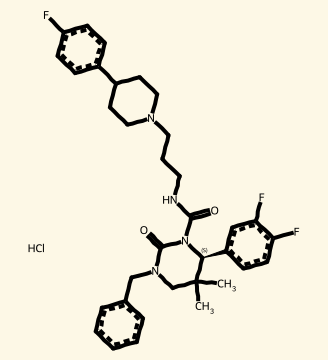 CC1(C)CN(Cc2ccccc2)C(=O)N(C(=O)NCCCN2CCC(c3ccc(F)cc3)CC2)[C@H]1c1ccc(F)c(F)c1.Cl